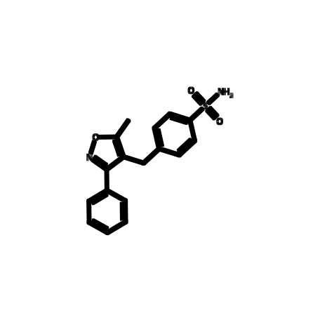 Cc1onc(-c2ccccc2)c1Cc1ccc(S(N)(=O)=O)cc1